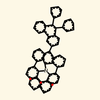 c1ccc(-c2cccc(-c3ccccc3)c2N(c2ccc(-c3ccc4c(-c5ccccc5)c(-c5ccccc5)c5ccccc5c4c3)cc2)c2c(-c3ccccc3)cccc2-c2ccccc2)cc1